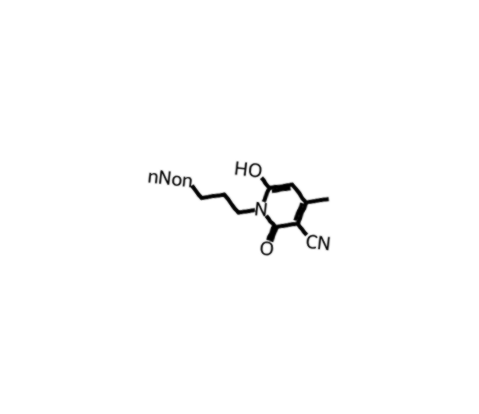 CCCCCCCCCCCCn1c(O)cc(C)c(C#N)c1=O